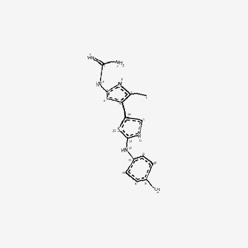 Cc1nc(NC(=N)N)sc1-c1cnc(Nc2ccc(C#N)cc2)s1